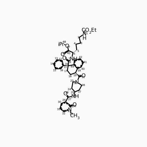 CCOC(=O)NCCCC[C@H](NC(=O)[C@@]1(c2ccccc2)CC[C@H](C(=O)N2CCC(NC(=O)c3cccn(C)c3=O)CC2)c2ccccc21)C(=O)OC(C)C